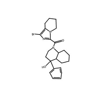 O=C(c1nc(Br)c2n1CCCC2)N1CCC(O)(c2ccccc2)C2CCCCC21